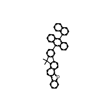 CC1(C)c2ccc(-c3c4ccccc4c(-c4cccc5ccccc45)c4ccccc34)cc2-c2ccc3c(ccc4c5ccccc5oc34)c21